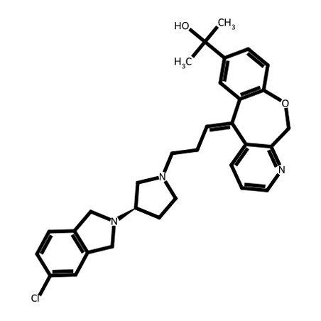 CC(C)(O)c1ccc2c(c1)/C(=C/CCN1CC[C@@H](N3Cc4ccc(Cl)cc4C3)C1)c1cccnc1CO2